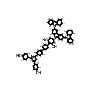 N#Cc1ccc(-c2cc(-c3ccc(-c4ccc(-c5c(C#N)cc(-n6c7ccc(-n8c9ccccc9c9ccccc98)cc7c7cc(-n8c9ccccc9c9ccccc98)ccc76)cc5C#N)cc4)cc3)nc(-c3ccc(C#N)cc3)n2)cc1